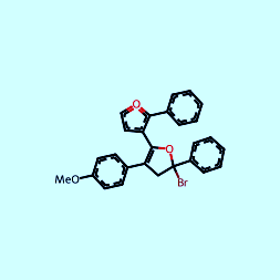 COc1ccc(C2=C(c3ccoc3-c3ccccc3)OC(Br)(c3ccccc3)C2)cc1